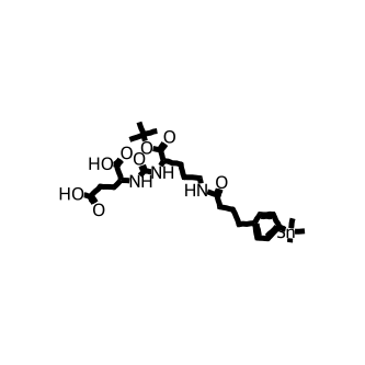 CC(C)(C)OC(=O)C(CCCNC(=O)CCCc1cc[c]([Sn]([CH3])([CH3])[CH3])cc1)NC(=O)NC(CCC(=O)O)C(=O)O